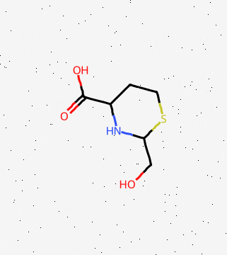 O=C(O)C1CCSC(CO)N1